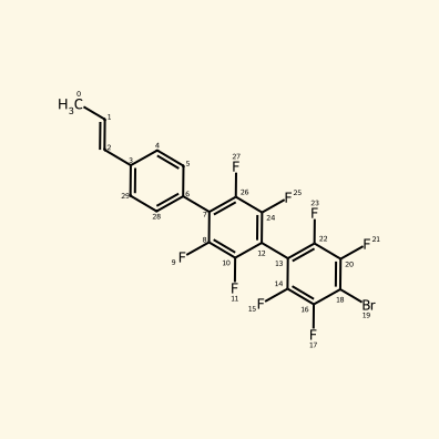 C/C=C/c1ccc(-c2c(F)c(F)c(-c3c(F)c(F)c(Br)c(F)c3F)c(F)c2F)cc1